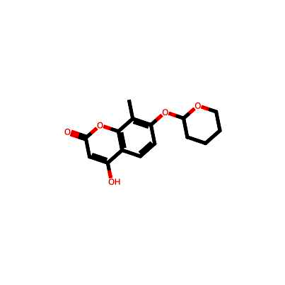 Cc1c(OC2CCCCO2)ccc2c(O)cc(=O)oc12